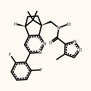 CCN(C[C@@]12CC[C@@H](c3cc(-c4c(F)cccc4F)nnc31)C2(C)C)C(=O)c1nocc1C